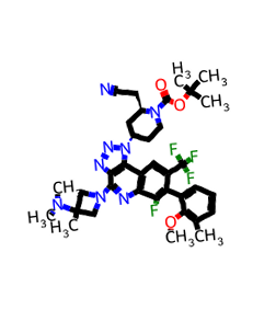 COc1c(C)cccc1-c1c(C(F)(F)F)cc2c(nc(N3CC(C)(N(C)C)C3)c3nnn([C@H]4CCN(C(=O)OC(C)(C)C)[C@H](CC#N)C4)c32)c1F